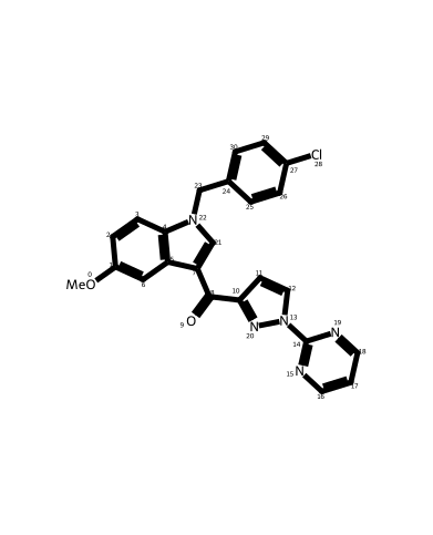 COc1ccc2c(c1)c(C(=O)c1ccn(-c3ncccn3)n1)cn2Cc1ccc(Cl)cc1